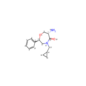 N[C@H]1CO[C@H](c2ccccc2)CN(CC2CC2)C1=O